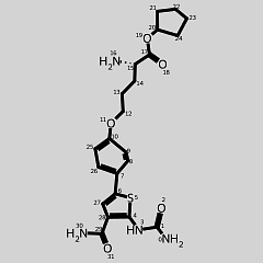 NC(=O)Nc1sc(-c2ccc(OCCC[C@H](N)C(=O)OC3CCCC3)cc2)cc1C(N)=O